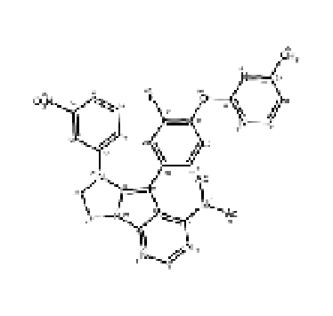 CC(=O)N(C(C)=O)c1ncnc2c1c(-c1ccc(Oc3nccc(C)n3)c(F)c1)c1n2CCN1c1cccc([N+](=O)[O-])c1